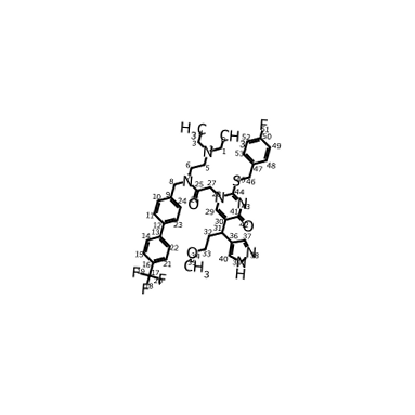 CCN(CC)CCN(Cc1ccc(-c2ccc(C(F)(F)F)cc2)cc1)C(=O)Cn1cc(C(CCOC)c2cn[nH]c2)c(=O)nc1SCc1ccc(F)cc1